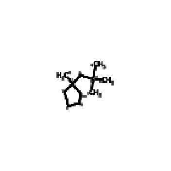 CC1(C[Si](C)(C)C)CCCC1